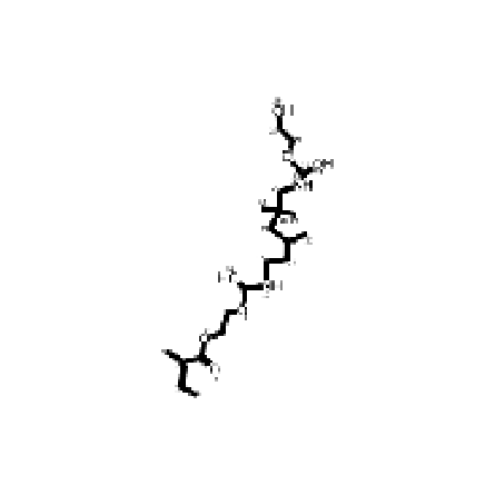 CC=C(C)C(=O)OCCOC(O)NCCC(C)CC(C)(C)CNC(O)OCCO